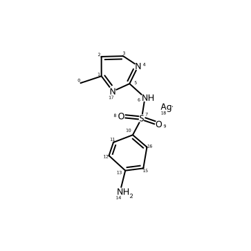 Cc1ccnc(NS(=O)(=O)c2ccc(N)cc2)n1.[Ag]